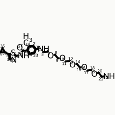 Cc1cc(NCCOCCOCCOCCOCCOCCN)ccc1C(=O)Nc1ncc(C2CC2)s1